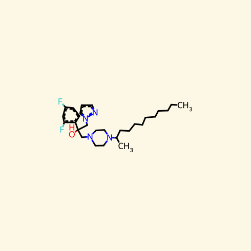 CCCCCCCCCCC(C)N1CCN(CC(O)(Cn2cccn2)c2ccc(F)cc2F)CC1